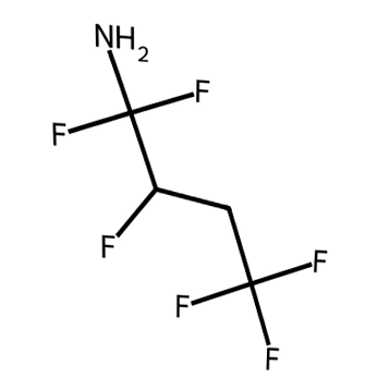 NC(F)(F)C(F)CC(F)(F)F